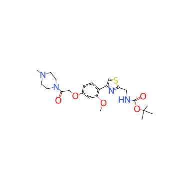 COc1cc(OCC(=O)N2CCN(C)CC2)ccc1-c1csc(CNC(=O)OC(C)(C)C)n1